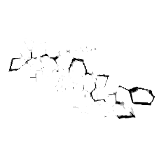 CC[C@H](C)[C@@H]([C@@H](CC(=O)N1CCC[C@H]1[C@H](OC)[C@@H](C)C(=O)N[C@@H](Cc1ccccc1)c1nccs1)OC)N(C)C(=O)[C@@H](NC(=O)[C@]1(C)CCCN1)C(C)C